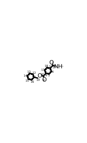 [NH]C(=O)c1ccc(C(=O)OCc2ccccc2)cc1